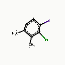 Cc1ccc(I)c(Br)c1C